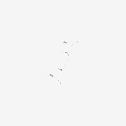 C#CC(C)OC(=O)CCCC(=O)OC(C)C#C